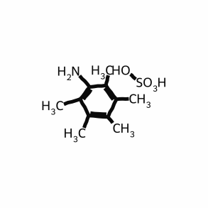 Cc1c(C)c(C)c(N)c(C)c1C.O=S(=O)(O)O